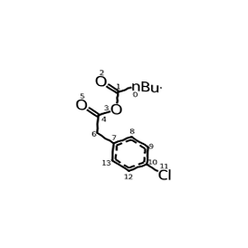 CCC[CH]C(=O)OC(=O)Cc1ccc(Cl)cc1